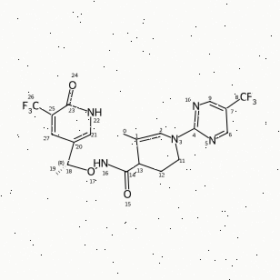 CC1=CN(c2ncc(C(F)(F)F)cn2)CCC1C(=O)NO[C@H](C)c1c[nH]c(=O)c(C(F)(F)F)c1